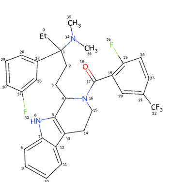 CCC(CCC1c2[nH]c3ccccc3c2CCN1C(=O)c1cc(C(F)(F)F)ccc1F)(c1cccc(F)c1)N(C)C